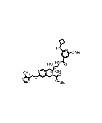 COc1cc(C(=O)NC[C@@H](O)[C@@]2(O)Cc3cnc(OCc4ocnc4C)cc3CN2C(=O)OC(C)(C)C)cc(NC2CCC2)n1